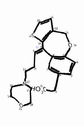 O=C(O)Cc1ccc2c(c1)/C(=C\CCN1CCOCC1)c1sccc1CO2